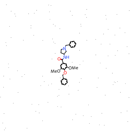 COc1cc(C(=O)NC2CCN(Cc3ccccc3)C2)cc(OC)c1OCc1ccccc1